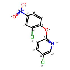 O=[N+]([O-])c1ccc(Oc2ccc(Cl)cn2)c(Cl)c1